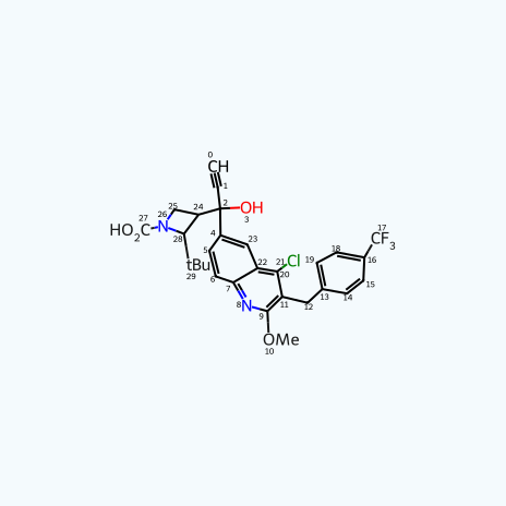 C#CC(O)(c1ccc2nc(OC)c(Cc3ccc(C(F)(F)F)cc3)c(Cl)c2c1)C1CN(C(=O)O)C1C(C)(C)C